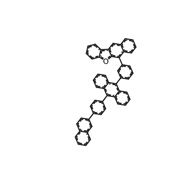 c1cc(-c2c3ccccc3c(-c3ccc(-c4ccc5ccccc5c4)cc3)c3ccccc23)cc(-c2c3ccccc3cc3c2oc2ccccc23)c1